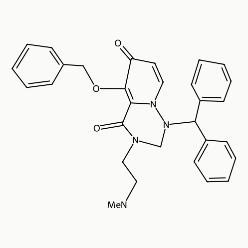 CNCCN1CN(C(c2ccccc2)c2ccccc2)n2ccc(=O)c(OCc3ccccc3)c2C1=O